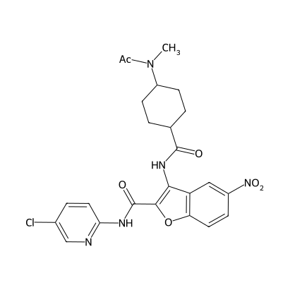 CC(=O)N(C)C1CCC(C(=O)Nc2c(C(=O)Nc3ccc(Cl)cn3)oc3ccc([N+](=O)[O-])cc23)CC1